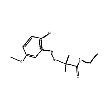 CCOC(=O)C(C)(C)SCc1cc(OC)ccc1F